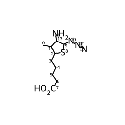 CC1C(CCCCC(=O)O)SC(N=[N+]=[N-])C1N